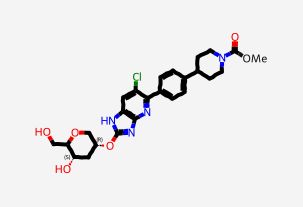 COC(=O)N1CCC(c2ccc(-c3nc4nc(O[C@H]5COC(CO)[C@@H](O)C5)[nH]c4cc3Cl)cc2)CC1